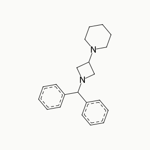 c1ccc(C(c2ccccc2)N2CC(N3CCCCC3)C2)cc1